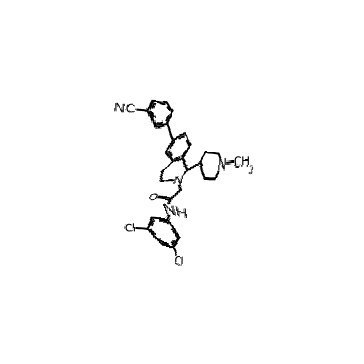 CN1CCC(C2c3ccc(-c4cccc(C#N)c4)cc3CCN2CC(=O)Nc2cc(Cl)cc(Cl)c2)CC1